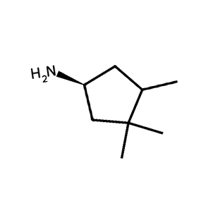 CC1C[C@H](N)CC1(C)C